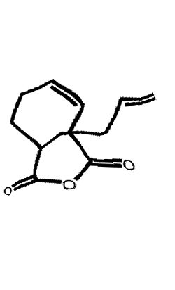 C=CCC12C=CCCC1C(=O)OC2=O